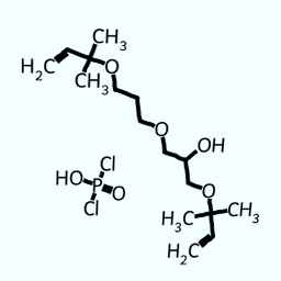 C=CC(C)(C)OCCCOCC(O)COC(C)(C)C=C.O=P(O)(Cl)Cl